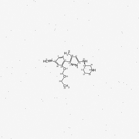 C#Cc1ccc(-c2nnc(N[C@@H]3CCCNC3)cc2C)c(OCOCC)c1